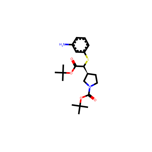 CC(C)(C)OC(=O)C(Sc1cccc(N)c1)[C@H]1CCN(C(=O)OC(C)(C)C)C1